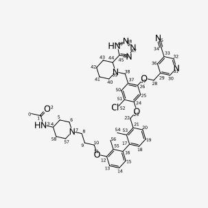 CC(=O)NC1CCN(CCCOc2cccc(-c3cccc(COc4cc(OCc5cncc(C#N)c5)c(CN5CCCCC5c5nnn[nH]5)cc4Cl)c3C)c2C)CC1